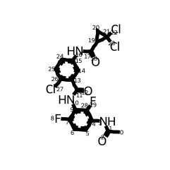 CC(=O)Nc1ccc(F)c(NC(=O)c2cc(NC(=O)C3CC3(Cl)Cl)ccc2Cl)c1F